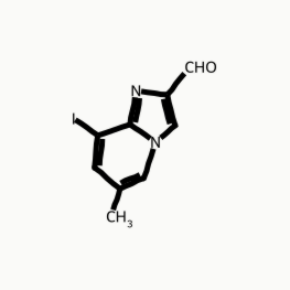 Cc1cc(I)c2nc(C=O)cn2c1